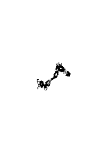 NC(=O)c1ccc(-n2cccc2)cc1C1CCC(CCN2CCC(C(=O)c3ccc(F)c(F)c3)CC2)CC1